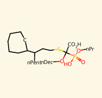 CCCCCCCCCCOC(SCCC(CCCCC)C1CCCCCC1)(C(=O)O)P(=O)(O)OCCC